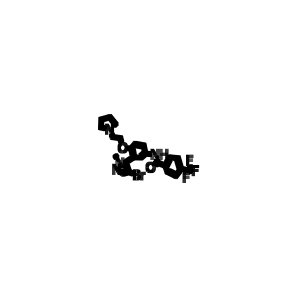 Cn1ncc(Br)c1-c1cc(NC(=O)c2ccc(C(F)(F)F)cc2)ccc1OCCN1CCCC1